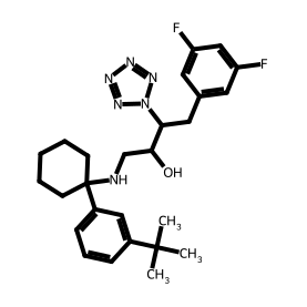 CC(C)(C)c1cccc(C2(NCC(O)C(Cc3cc(F)cc(F)c3)n3nnnn3)CCCCC2)c1